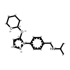 CC(C)NCc1ccc(-n2nncc2OC2CCCCO2)cc1